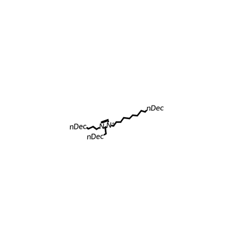 CCCCCCCCCCCCCCCCCCC[n+]1ccn(CCCCCCCCCCCCC)c1CCCCCCCCCCC